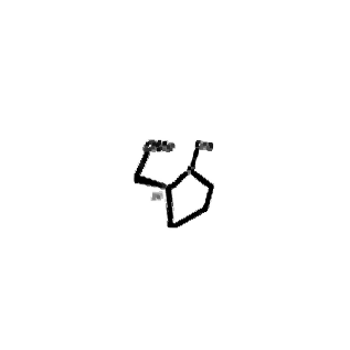 COC[C@@H]1CCCN1C=O